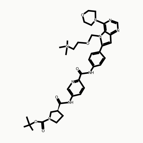 CC(C)(C)OC(=O)N1CC[C@H](C(=O)Nc2ccc(C(=O)Nc3ccc(-c4cc5ncnc(N6CCOCC6)c5n4COCC[Si](C)(C)C)cc3)nc2)C1